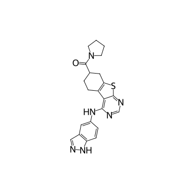 O=C(C1CCc2c(sc3ncnc(Nc4ccc5[nH]ncc5c4)c23)C1)N1CCCC1